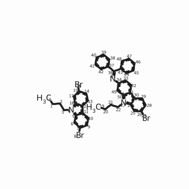 CCCCn1c2cc(Br)ccc2c2ccc(Br)cc21.CCCCn1c2cc(Br)ccc2c2ccc(N=C(c3ccccc3)c3ccccc3)cc21